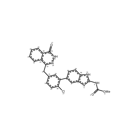 COC(=O)Nc1nc2cc(-c3cc(Cc4n[nH]c(=O)c5ccccc45)ccc3Cl)ccc2[nH]1